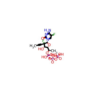 CC#CC1(F)[C@@H](O)[C@@H]([C@@H](C)OP(=O)(O)OP(=O)(O)OP(=O)(O)O)O[C@H]1n1cc(F)c(N)nc1=O